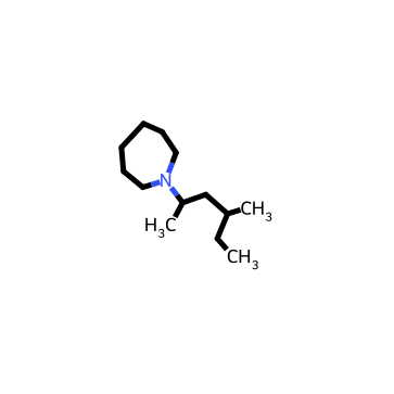 CCC(C)CC(C)N1CCCCCC1